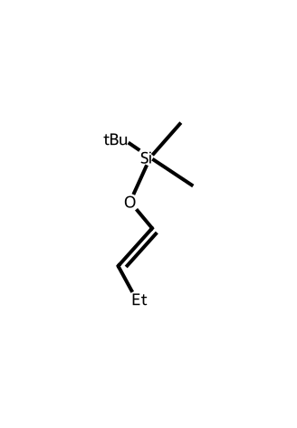 CCC=CO[Si](C)(C)C(C)(C)C